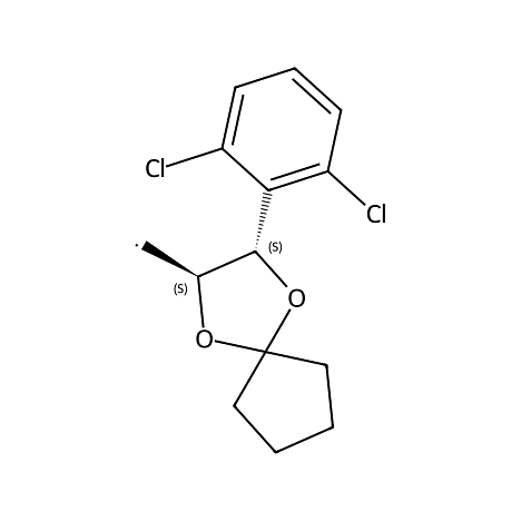 [CH2][C@@H]1OC2(CCCC2)O[C@H]1c1c(Cl)cccc1Cl